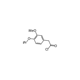 COc1cc(CC(=O)Cl)ccc1OC(C)C